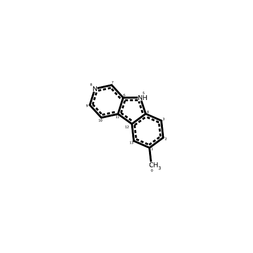 Cc1ccc2[nH]c3cnccc3c2c1